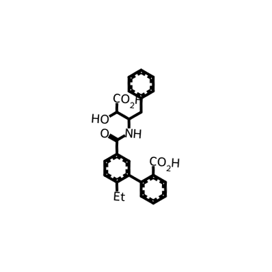 CCc1ccc(C(=O)NC(Cc2ccccc2)C(O)C(=O)O)cc1-c1ccccc1C(=O)O